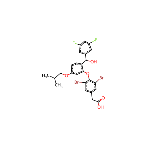 CC(C)COc1ccc(C(O)c2cc(F)cc(F)c2)c(Oc2c(Br)cc(CC(=O)O)cc2Br)c1